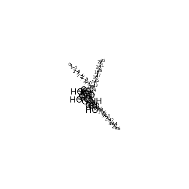 CCCCCCCCCCCC[C@H](CCCCCCCCCCC)CC(=O)O[C@@H]1[C@H](NC(=O)C[C@H](O)CCCCCCCCCCC)[C@@H](O)O[C@H](CO)[C@H]1OP(=O)(O)O